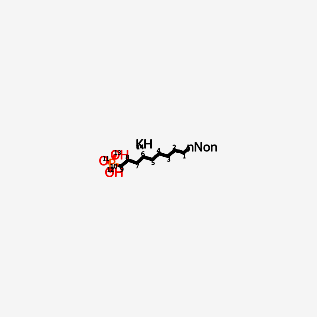 CCCCCCCCCCCCCCCCCCP(=O)(O)O.[KH]